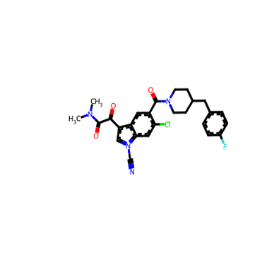 CN(C)C(=O)C(=O)c1cn(C#N)c2cc(Cl)c(C(=O)N3CCC(Cc4ccc(F)cc4)CC3)cc12